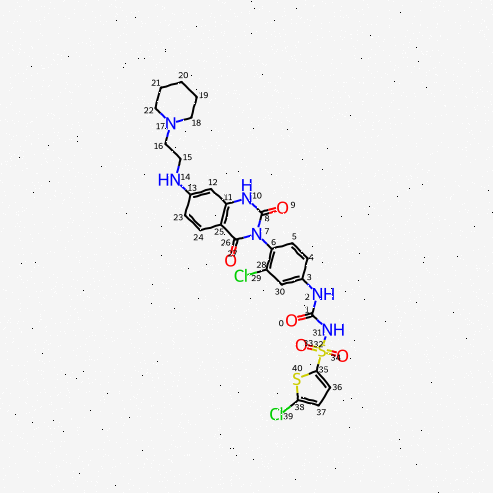 O=C(Nc1ccc(-n2c(=O)[nH]c3cc(NCCN4CCCCC4)ccc3c2=O)c(Cl)c1)NS(=O)(=O)c1ccc(Cl)s1